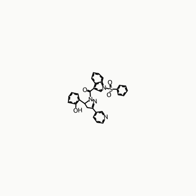 O=C(c1cn(S(=O)(=O)c2ccccc2)c2ccccc12)N1N=C(c2cccnc2)CC1c1ccccc1O